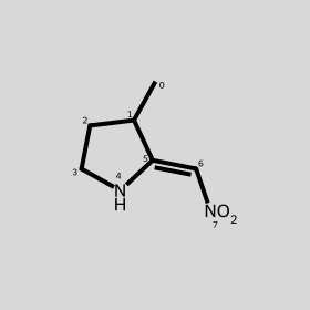 CC1CCNC1=C[N+](=O)[O-]